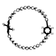 Ic1cc2c(I)cc1OCCOCCOCCOCCOc1ccc(cc1)OCCOCCOCCOCCO2